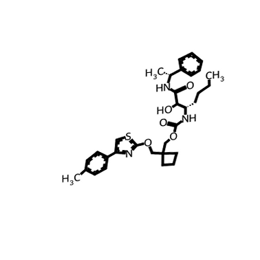 CCCC[C@H](NC(=O)OCC1(COc2nc(-c3ccc(C)cc3)cs2)CCC1)C(O)C(=O)N[C@H](C)c1ccccc1